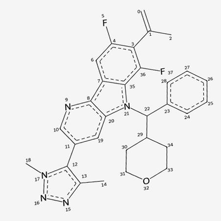 C=C(C)c1c(F)cc2c3ncc(-c4c(C)nnn4C)cc3n(C(c3ccccc3)C3CCOCC3)c2c1F